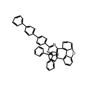 c1ccc(-c2ccc(-c3ccc(-c4nc(-c5ccccc5)nc(-c5cccc6oc7cccc(-c8ccc(-c9ccccc9)cc8)c7c56)n4)cc3)cc2)cc1